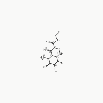 CCOC(=O)C1CNC2C(C)C(F)C(F)C(N)C2C1=P